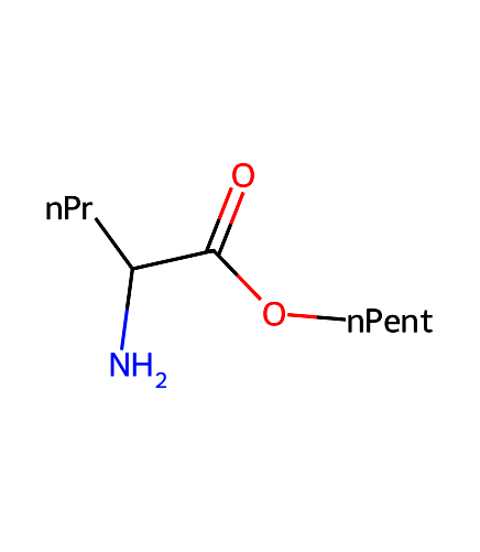 CCCCCOC(=O)C(N)CCC